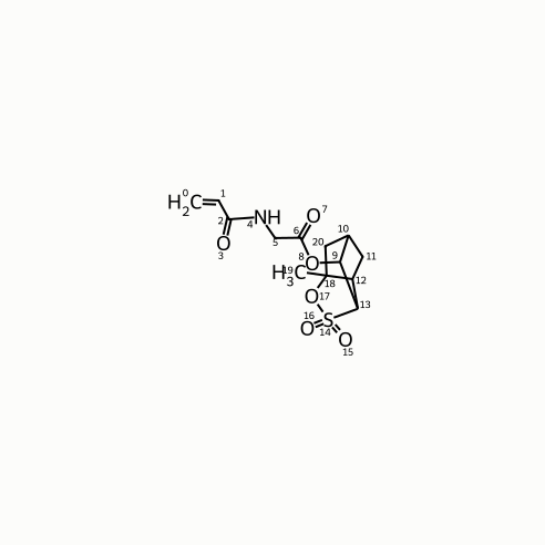 C=CC(=O)NCC(=O)OC1C2CC3C1S(=O)(=O)OC3(C)C2